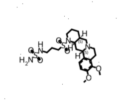 COc1ccc2c(c1OC)CCN1C[C@@H]3CCCN(S(=O)(=O)CCCNS(N)(=O)=O)[C@@H]3C[C@@H]21